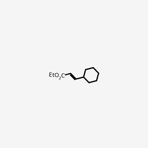 CCOC(=O)C=CC1CCCCC1